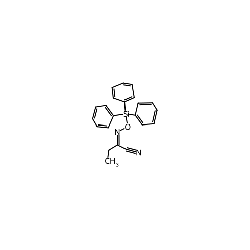 CCC(C#N)=NO[Si](c1ccccc1)(c1ccccc1)c1ccccc1